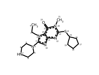 CCn1c(N2CCNCC2)nc2nc(SC3CCCC3)n(C)c(=O)c21